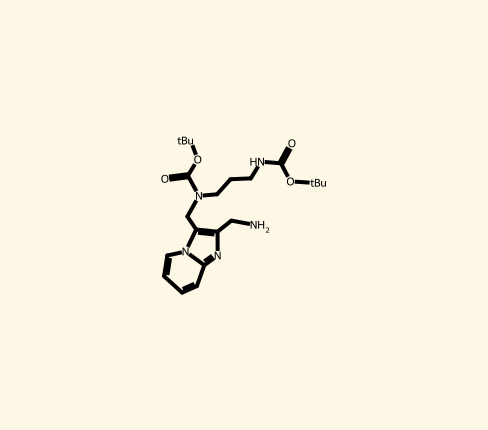 CC(C)(C)OC(=O)NCCCN(Cc1c(CN)nc2ccccn12)C(=O)OC(C)(C)C